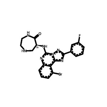 O=C1NCCNC[C@@H]1Nc1nc2cccc(Br)c2c2nc(-c3cccc(F)c3)nn12